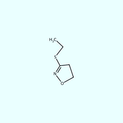 CCSC1=NOCC1